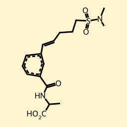 CC(NC(=O)c1cccc(C=CCCCS(=O)(=O)N(C)C)c1)C(=O)O